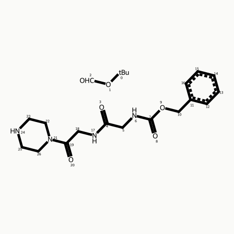 CC(C)(C)OC=O.O=C(CNC(=O)OCc1ccccc1)NCC(=O)N1CCNCC1